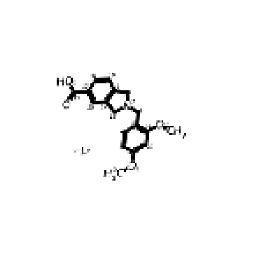 COc1ccc(CN2Cc3ccc(C(=O)O)cc3C2)c(OC)c1.[Li]